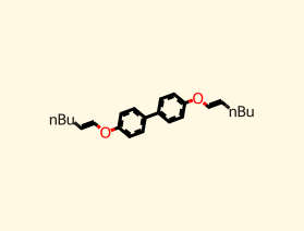 CCCCC=COc1ccc(-c2ccc(OC=CCCCC)cc2)cc1